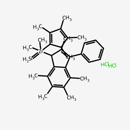 CC1=C(C)C(C)[C]([Zr]([CH3])([CH3])(=[SiH2])[CH]2C(C)=C(c3ccccc3)c3c(C)c(C)c(C)c(C)c32)=C1C.Cl.Cl